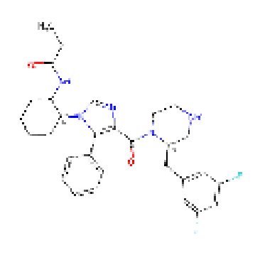 CCC(=O)NC1CCCC[C@@H]1n1cnc(C(=O)N2CCNC[C@H]2Cc2cc(F)cc(F)c2)c1-c1ccccc1